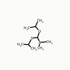 CC(C)OC(SC(C)C)N(C)C